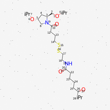 CC(C)OC[C@@H]1C[C@@H](OC(C)C)CN1C(=O)CCCSSCCNC(=O)CCCCC(=O)C(C)C